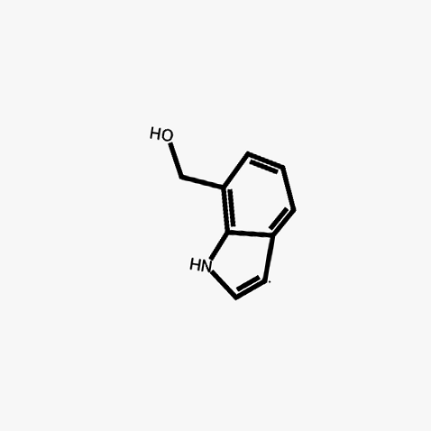 OCc1cccc2[c]c[nH]c12